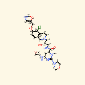 CN1C(N2CCOCC2)=NC(NC2COC2)CC1C(=O)NC[C@H](O)CN1CCc2c(ccc(OCc3cnco3)c2Cl)C1